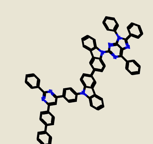 c1ccc(-c2ccc(-c3cc(-c4ccc(-n5c6ccccc6c6cc(-c7ccc8c(c7)c7ccccc7n8-c7nc(-c8ccccc8)c8nc(-c9ccccc9)n(-c9ccccc9)c8n7)ccc65)cc4)nc(-c4ccccc4)n3)cc2)cc1